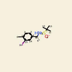 Cc1ccc([C@@H](C)N[S+]([O-])C(C)(C)C)cc1I